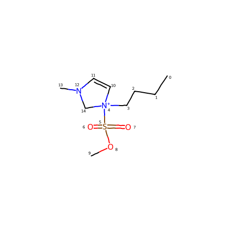 CCCC[N+]1(S(=O)(=O)OC)C=CN(C)C1